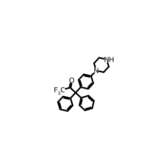 O=C(C(F)(F)F)C(c1ccccc1)(c1ccccc1)c1ccc(N2CCNCC2)cc1